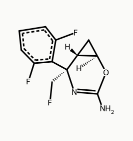 NC1=N[C@@](CF)(c2c(F)cccc2F)[C@@H]2C[C@H]2O1